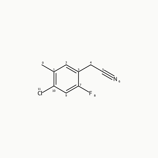 Cc1cc(CC#N)c(F)cc1Cl